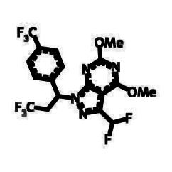 COc1nc(OC)c2c(C(F)F)nn(C(CC(F)(F)F)c3ccc(C(F)(F)F)cc3)c2n1